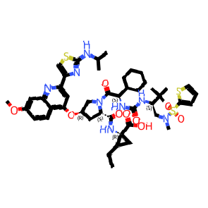 CCC1C[C@]1(NC(=O)[C@@H]1C[C@@H](Oc2cc(-c3csc(NC(C)C)n3)nc3cc(OC)ccc23)CN1C(=O)[C@@H](NC(=O)N[C@H](CN(C)S(=O)(=O)c1cccs1)C(C)(C)C)C1CCCCC1)C(=O)O